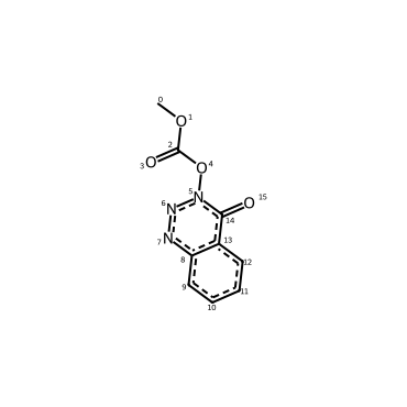 COC(=O)On1nnc2ccccc2c1=O